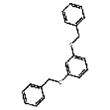 c1ccc(COc2cccc(SCc3ccccc3)c2)cc1